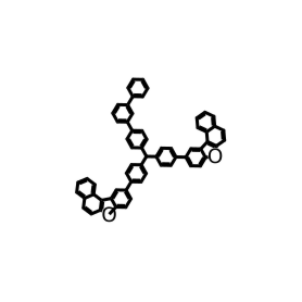 c1ccc(-c2cccc(-c3ccc(C(c4ccc(-c5ccc6oc7ccc8ccccc8c7c6c5)cc4)c4ccc(-c5ccc6oc7ccc8ccccc8c7c6c5)cc4)cc3)c2)cc1